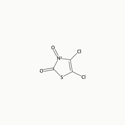 O=C1SC(Cl)=C(Cl)[N+]1=O